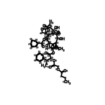 CCCC(=O)OCC(=O)O[C@@H](C(=O)O[C@H]1C[C@@]2(O)[C@@H](OC(=O)c3ccccc3)[C@H]3[C@](C)(C(=O)[C@H](O)C(=C1C)C2(C)C)[C@@H](O)CC1OC[C@]13OC(C)=O)[C@@H](C)c1ccccc1